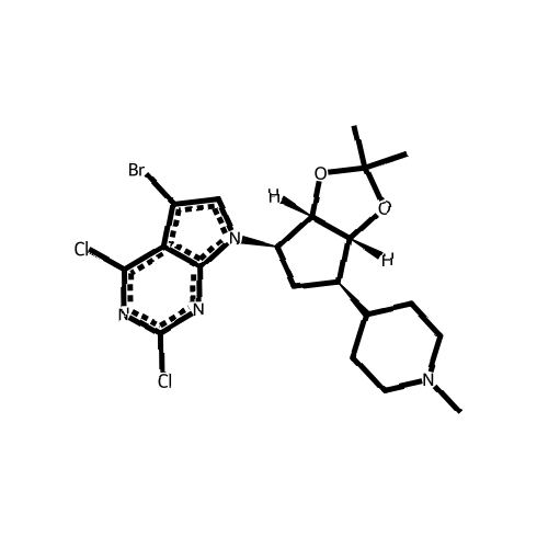 CN1CCC([C@H]2C[C@@H](n3cc(Br)c4c(Cl)nc(Cl)nc43)[C@@H]3OC(C)(C)O[C@@H]32)CC1